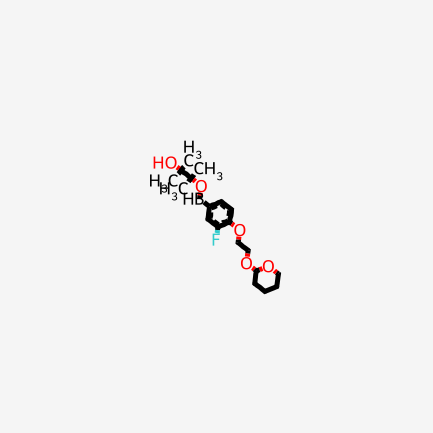 CC(C)(O)C(C)(C)OBc1ccc(OCCOC2CCCCO2)c(F)c1